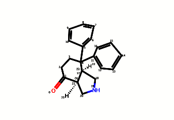 O=C1CCC(c2ccccc2)(c2ccccc2)[C@H]2CNC[C@@H]12